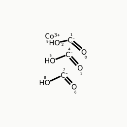 O=[C-]O.O=[C-]O.O=[C-]O.[Co+3]